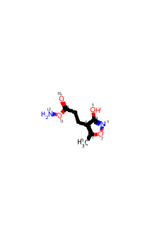 Cc1onc(O)c1CCC(=O)ON